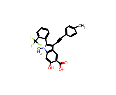 Cc1ccc(C#Cc2c(-c3ccccc3C(F)(F)F)n(C)c3cc(O)c(C(=O)O)cc23)cc1